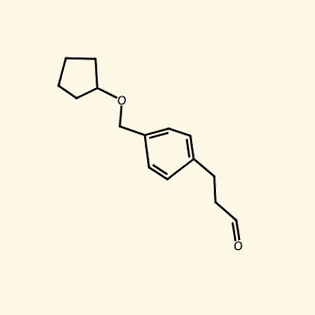 O=CCCc1ccc(COC2CCCC2)cc1